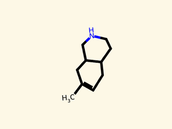 CC1=CCC2CCNCC2C1